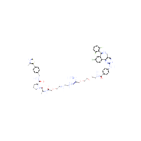 Cc1ncsc1-c1ccc(CNC(=O)[C@@H]2CCCN2C(=O)[C@@H](NC(=O)COCCNCCN/C=C(/COCCOCCNC(=O)c2ccc(Nc3ncc4c(n3)-c3ccc(Cl)cc3C(c3c(F)cccc3F)=NC4)cc2)N=N)C(C)(C)C)cc1